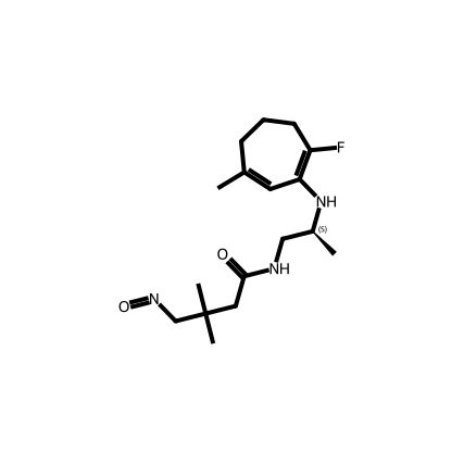 CC1=CC(N[C@@H](C)CNC(=O)CC(C)(C)CN=O)=C(F)CCC1